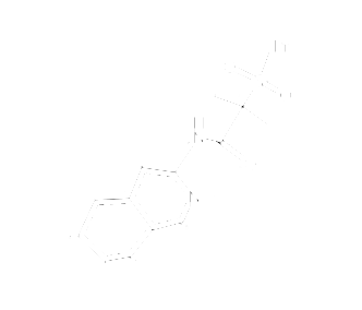 CC(C)S(=O)(=O)C(C)(C)C(=O)Nc1cc2ccccc2cn1